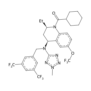 CC[C@@H]1C[C@H](N(Cc2cc(C(F)(F)F)cc(C(F)(F)F)c2)c2nnn(C)n2)c2cc(OC(F)(F)F)ccc2N1C(=O)C1CCCCC1